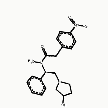 CN(C(=O)Cc1ccc([N+](=O)[O-])cc1)[C@@H](CN1CCC(O)C1)c1ccccc1